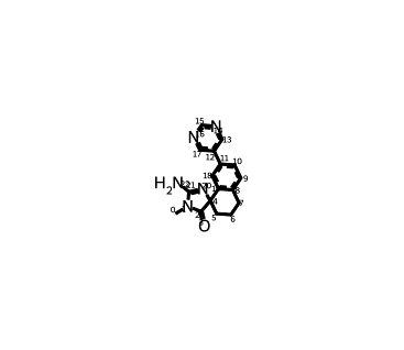 CN1C(=O)C2(CCCc3ccc(-c4cncnc4)cc32)N=C1N